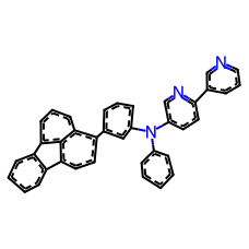 c1ccc(N(c2ccc(-c3cccnc3)nc2)c2cccc(-c3ccc4c5c(cccc35)-c3ccccc3-4)c2)cc1